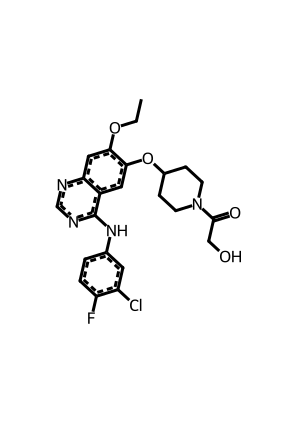 CCOc1cc2ncnc(Nc3ccc(F)c(Cl)c3)c2cc1OC1CCN(C(=O)CO)CC1